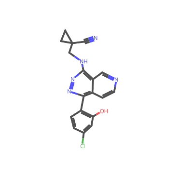 N#CC1(CNc2nnc(-c3ccc(Cl)cc3O)c3ccncc23)CC1